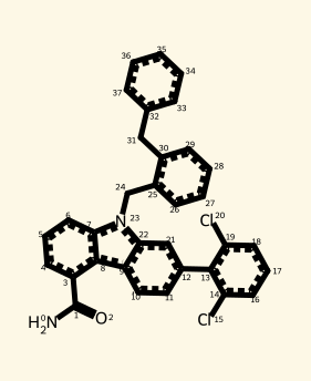 NC(=O)c1cccc2c1c1[c]cc(-c3c(Cl)cccc3Cl)cc1n2Cc1ccccc1Cc1ccccc1